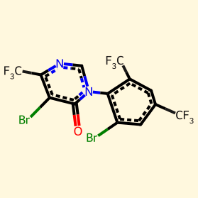 O=c1c(Br)c(C(F)(F)F)ncn1-c1c(Br)cc(C(F)(F)F)cc1C(F)(F)F